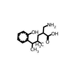 CC(CC(CN)C(=O)O)C(C)c1ccccc1O